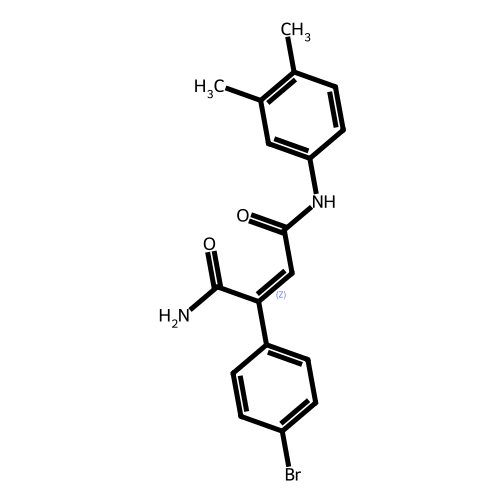 Cc1ccc(NC(=O)/C=C(\C(N)=O)c2ccc(Br)cc2)cc1C